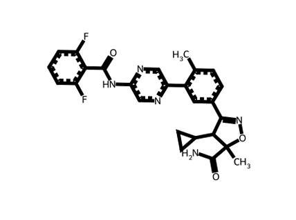 Cc1ccc(C2=NOC(C)(C(N)=O)C2C2CC2)cc1-c1cnc(NC(=O)c2c(F)cccc2F)cn1